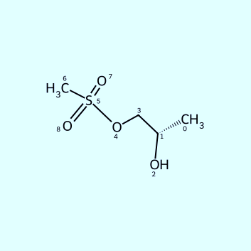 C[C@H](O)COS(C)(=O)=O